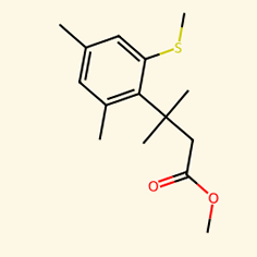 COC(=O)CC(C)(C)c1c(C)cc(C)cc1SC